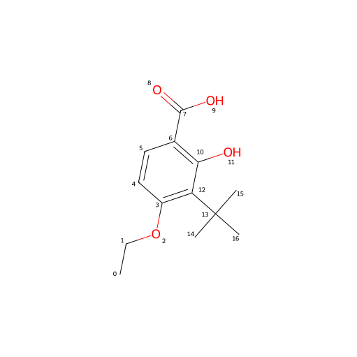 CCOc1ccc(C(=O)O)c(O)c1C(C)(C)C